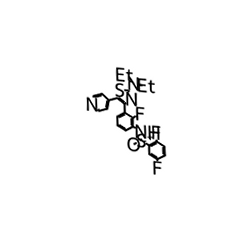 CCN(CC)c1nc(-c2cccc(N[S+]([O-])c3cc(F)ccc3F)c2F)c(-c2ccncc2)s1